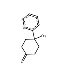 O=C1CCC(O)(c2cccnn2)CC1